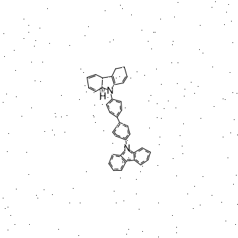 C1=CC2C3=C(C=CCC3)N(c3ccc(-c4ccc(-n5c6ccccc6c6ccccc65)cc4)cc3)[C@H]2C=C1